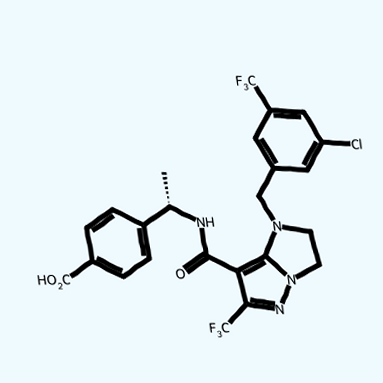 C[C@H](NC(=O)c1c(C(F)(F)F)nn2c1N(Cc1cc(Cl)cc(C(F)(F)F)c1)CC2)c1ccc(C(=O)O)cc1